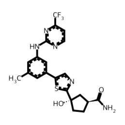 Cc1cc(Nc2nccc(C(F)(F)F)n2)cc(-c2cnc([C@]3(O)CC[C@H](C(N)=O)C3)s2)c1